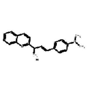 CC(/C=C/c1ccc(N(C)C)cc1)c1ccc2ccccc2n1.I